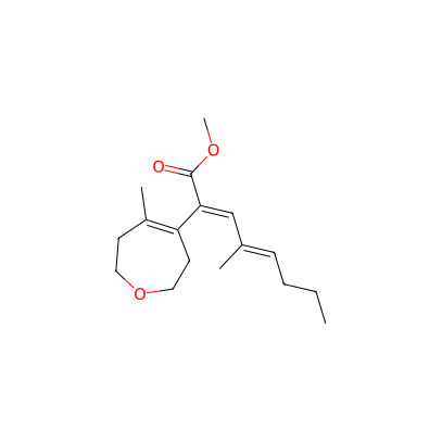 CCC/C=C(C)/C=C(/C(=O)OC)C1=C(C)CCOCC1